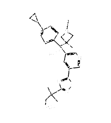 COCC(C)(C)c1noc(-c2cncc([C@@](O)(c3ccc(C4CC4)cc3)C3(C)CN(C)C3)c2)n1